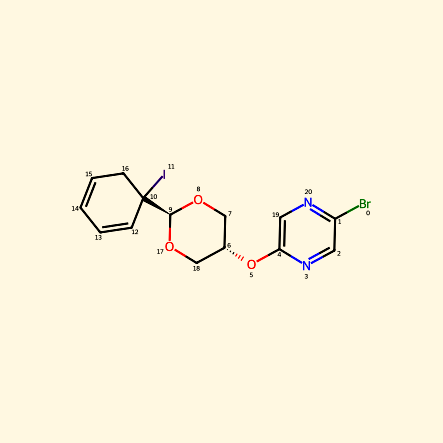 Brc1cnc(O[C@H]2CO[C@H](C3(I)C=CC=CC3)OC2)cn1